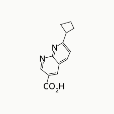 O=C(O)c1cnc2nc(C3CCC3)ccc2c1